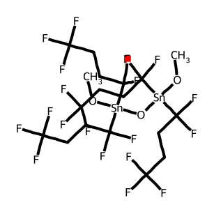 C[O][Sn]([O][Sn]([O]C)([C](F)(F)CCC(F)(F)F)[C](F)(F)CCC(F)(F)F)([C](F)(F)CCC(F)(F)F)[C](F)(F)CCC(F)(F)F